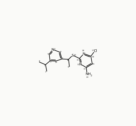 CC(C)c1cncc(C(C)Sc2nc(N)cc(Cl)n2)c1